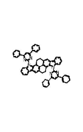 C1=CCCC(c2cc(C3=CCCC=C3)nc(-n3c4ccccc4c4cc5c6c(c43)CCc3cc4c7ccccc7n(-c7nc(-c8ccccc8)cc(-c8ccccc8)n7)c4c(c3-6)CC5)n2)=C1